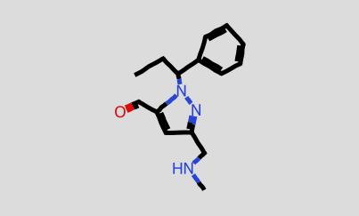 CCC(c1ccccc1)n1nc(CNC)cc1C=O